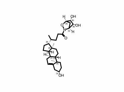 CC(CCC(=O)N1O[C@@H]2C[C@H]1[C@@H](O)[C@H]2O)[C@H]1CC[C@H]2[C@@H]3CC=C4C[C@@H](O)CC[C@]4(C)[C@H]3CC[C@]12C